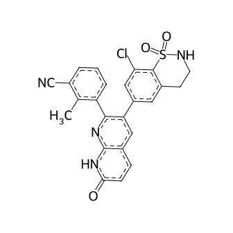 Cc1c(C#N)cccc1-c1nc2[nH]c(=O)ccc2cc1-c1cc(Cl)c2c(c1)CCNS2(=O)=O